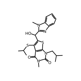 CC(C)Cn1c(=O)n(C)c(=O)c2c(SC(C)C)c(C(O)c3nc4ccccc4n3C)sc21